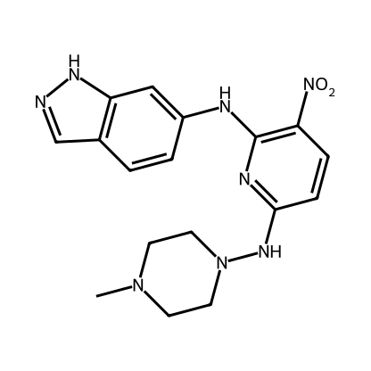 CN1CCN(Nc2ccc([N+](=O)[O-])c(Nc3ccc4cn[nH]c4c3)n2)CC1